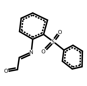 O=CC=Nc1ccccc1S(=O)(=O)c1ccccc1